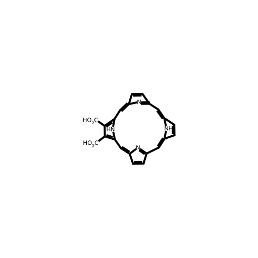 O=C(O)c1c(C(=O)O)c2cc3nc(cc4ccc(cc5nc(cc1[nH]2)C=C5)[nH]4)C=C3